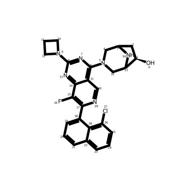 O[C@@H]1CC2CN(c3nc(N4CCC4)nc4c(F)c(-c5cccc6cccc(Cl)c56)ncc34)CC1N2